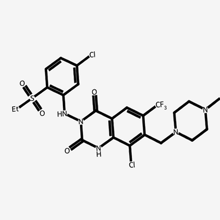 CCS(=O)(=O)c1ccc(Cl)cc1Nn1c(=O)[nH]c2c(Cl)c(CN3CCN(C)CC3)c(C(F)(F)F)cc2c1=O